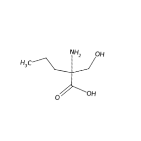 CCCC(N)(CO)C(=O)O